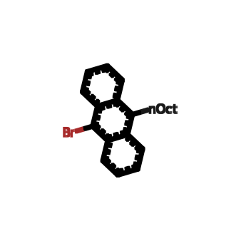 CCCCCCCCc1c2ccccc2c(Br)c2ccccc12